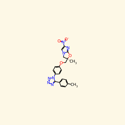 Cc1ccc(-c2nnnn2-c2ccc(OC[C@@]3(C)Cn4cc([N+](=O)[O-])nc4O3)cc2)cc1